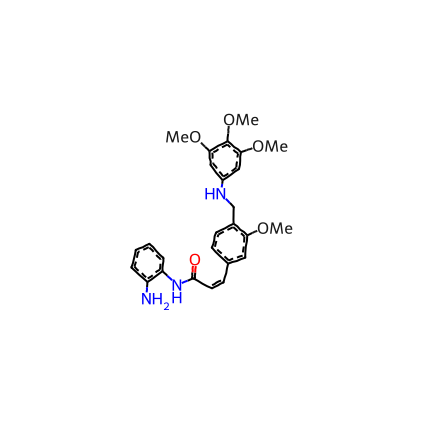 COc1cc(/C=C\C(=O)Nc2ccccc2N)ccc1CNc1cc(OC)c(OC)c(OC)c1